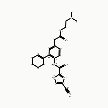 CN(C)CCNC(=O)Cc1ccc(NC(=O)c2nc(C#N)c[nH]2)c(C2=CCCCC2)c1